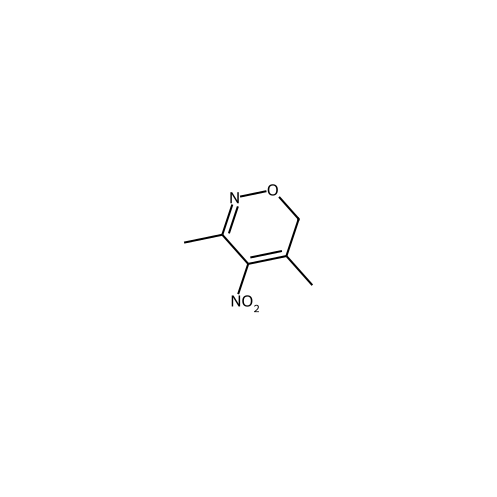 CC1=NOCC(C)=C1[N+](=O)[O-]